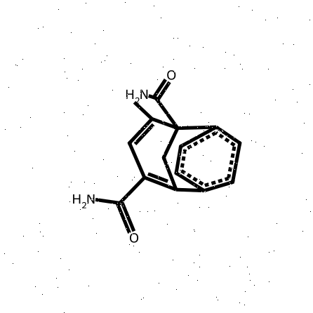 CC1=CC(C(N)=O)=C2CC1(C(N)=O)c1ccc2cc1